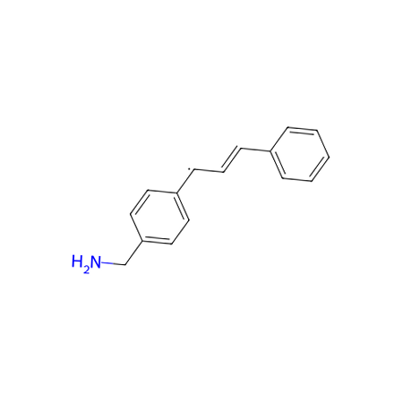 NCc1ccc([CH]C=Cc2ccccc2)cc1